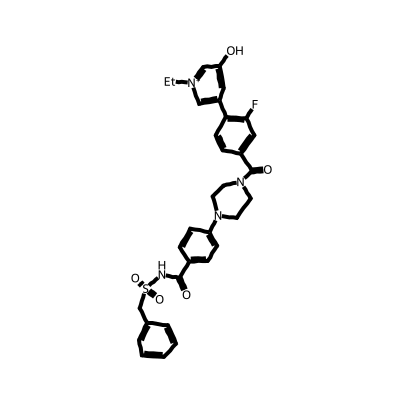 CC[n+]1cc(O)cc(-c2ccc(C(=O)N3CCN(c4ccc(C(=O)NS(=O)(=O)Cc5ccccc5)cc4)CC3)cc2F)c1